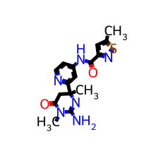 Cc1cc(C(=O)Nc2ccnc(C3(C)CC(=O)N(C)C(N)=N3)c2)ns1